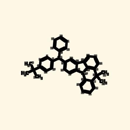 CC(C)(C)c1ccc(N(c2ccccc2)c2ccc3c(c2)c2cccc4c2n3-c2ccccc2C4(C)C)cc1